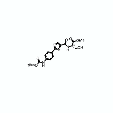 COC(=O)[C@H](CO)NC(=O)c1coc(-c2ccc(NC(=O)OC(C)(C)C)cc2)n1